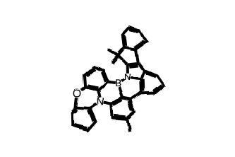 Cc1cc2c3c(c1)N1c4ccccc4Oc4cccc(c41)B3n1c3c(c4cccc-2c41)-c1ccccc1C3(C)C